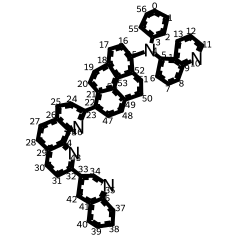 c1ccc(N(c2cccc3ncccc23)c2ccc3ccc4c(-c5ccc6ccc7ccc(-c8cnc9ccccc9c8)nc7c6n5)ccc5ccc2c3c54)cc1